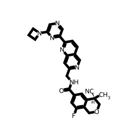 C[C@@]1(C#N)COCc2c(F)cc(C(=O)NCc3cc4nc(-c5cncc(N6CCC6)n5)ccc4cn3)cc21